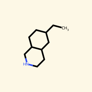 CCC1CCC2CNCCC2C1